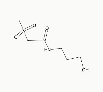 CS(=O)(=O)CC(=O)NCCCO